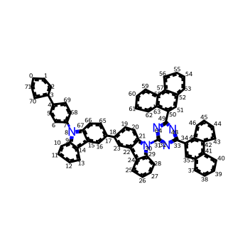 c1ccc(-c2ccc(-n3c4ccccc4c4cc(-c5ccc6c(c5)c5ccccc5n6-c5nc(-c6cc7ccccc7c7ccccc67)nc(-c6cc7ccccc7c7ccccc67)n5)ccc43)cc2)cc1